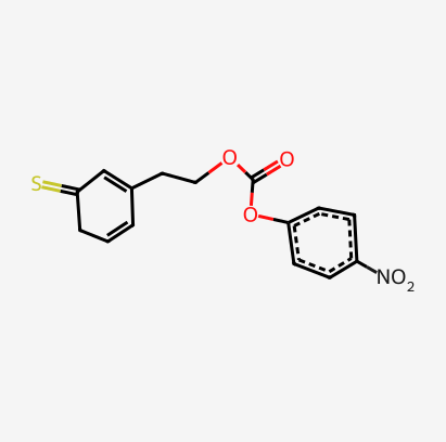 O=C(OCCC1=CC(=S)CC=C1)Oc1ccc([N+](=O)[O-])cc1